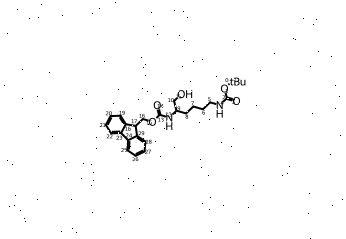 CC(C)(C)OC(=O)NCCCCC(CO)NC(=O)OCC1c2ccccc2-c2ccccc21